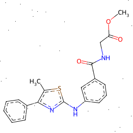 COC(=O)CNC(=O)c1cccc(Nc2nc(-c3ccccc3)c(C)s2)c1